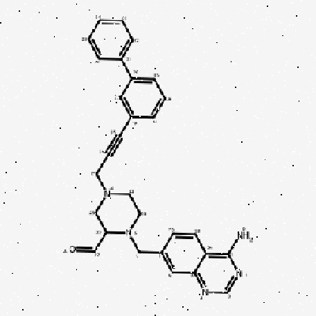 Nc1ncnc2cc(CN3CCN(CC#Cc4cccc(-c5ccccc5)c4)CC3C=O)ccc12